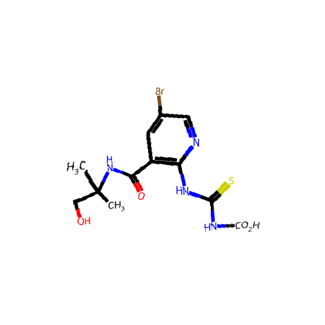 CC(C)(CO)NC(=O)c1cc(Br)cnc1NC(=S)NC(=O)O